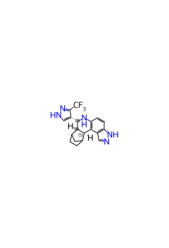 FC(F)(F)c1n[nH]cc1[C@@H]1Nc2ccc3[nH]ncc3c2[C@H]2C3CCC(C3)[C@@H]12